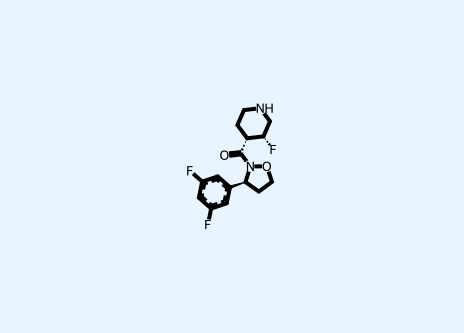 O=C([C@@H]1CCNC[C@@H]1F)N1OCC[C@H]1c1cc(F)cc(F)c1